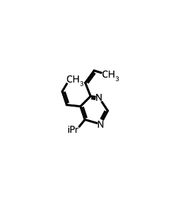 C/C=C\c1ncnc(C(C)C)c1/C=C\C